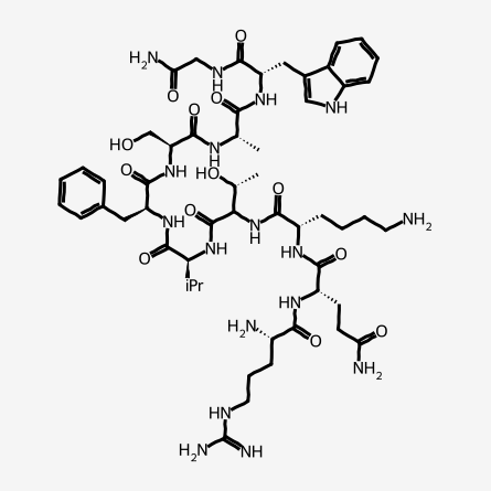 CC(C)[C@H](NC(=O)C(NC(=O)[C@H](CCCCN)NC(=O)[C@H](CCC(N)=O)NC(=O)[C@@H](N)CCCNC(=N)N)[C@@H](C)O)C(=O)N[C@@H](Cc1ccccc1)C(=O)N[C@@H](CO)C(=O)N[C@@H](C)C(=O)N[C@@H](Cc1c[nH]c2ccccc12)C(=O)NCC(N)=O